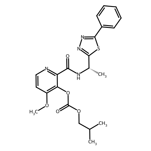 COc1ccnc(C(=O)N[C@@H](C)c2nnc(-c3ccccc3)s2)c1OC(=O)OCC(C)C